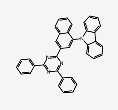 c1ccc(-c2nc(-c3ccccc3)nc(-c3cc(-n4c5ccccc5c5ccccc54)c4ccccc4c3)n2)cc1